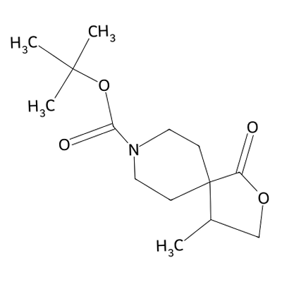 CC1COC(=O)C12CCN(C(=O)OC(C)(C)C)CC2